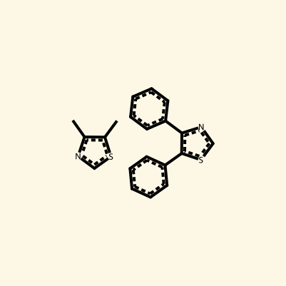 Cc1ncsc1C.c1ccc(-c2ncsc2-c2ccccc2)cc1